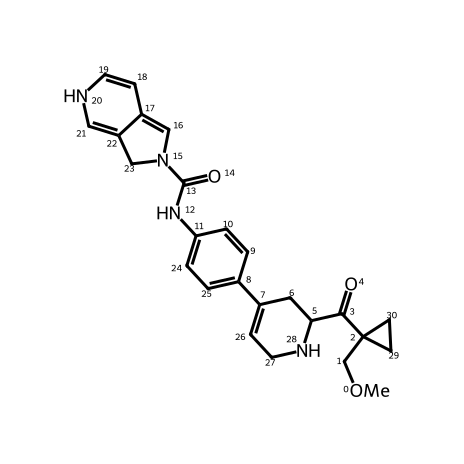 COCC1(C(=O)C2CC(c3ccc(NC(=O)N4C=C5C=CNC=C5C4)cc3)=CCN2)CC1